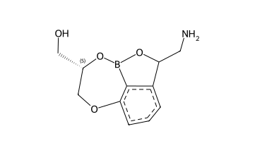 NCC1OB2O[C@@H](CO)COc3cccc1c32